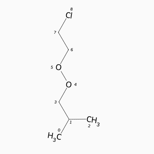 CC(C)COOCCCl